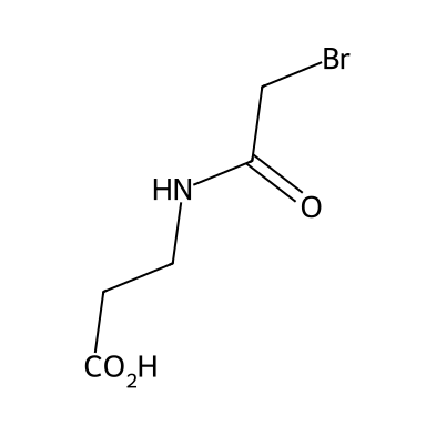 O=C(O)CCNC(=O)CBr